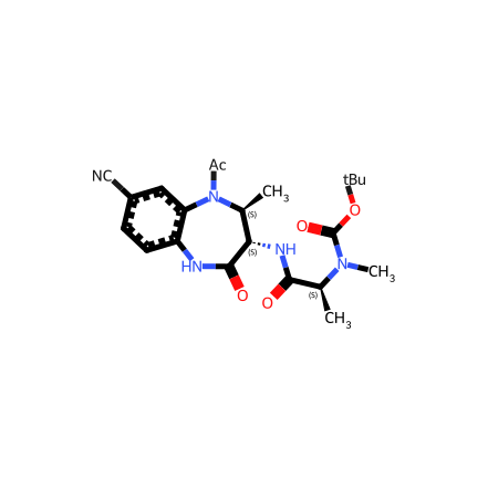 CC(=O)N1c2cc(C#N)ccc2NC(=O)[C@@H](NC(=O)[C@H](C)N(C)C(=O)OC(C)(C)C)[C@@H]1C